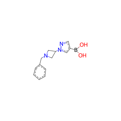 OB(O)c1cnn(C2CN(Cc3ccccc3)C2)c1